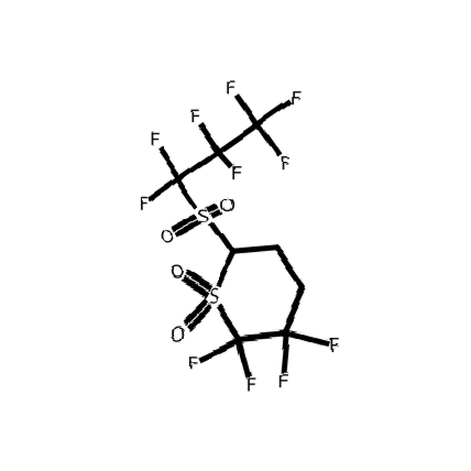 O=S1(=O)C(S(=O)(=O)C(F)(F)C(F)(F)C(F)(F)F)CCC(F)(F)C1(F)F